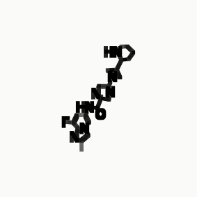 Cc1cn2cc(NC(=O)c3cnc(N4CC(C5CCCCN5)C4)cn3)cc(F)c2n1